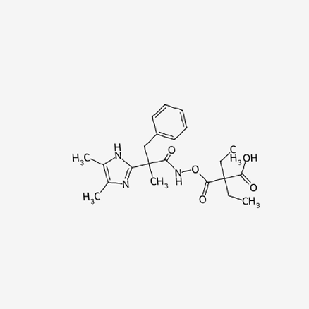 CCC(CC)(C(=O)O)C(=O)ONC(=O)C(C)(Cc1ccccc1)c1nc(C)c(C)[nH]1